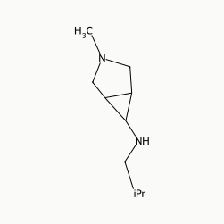 CC(C)CNC1C2CN(C)CC21